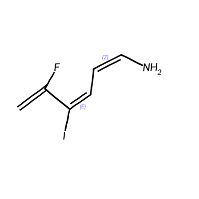 C=C(F)/C(I)=C\C=C/N